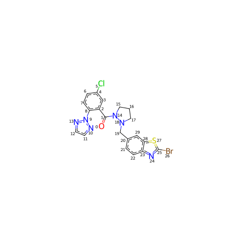 O=C(c1cc(Cl)ccc1-n1nccn1)N1CCCN1Cc1ccc2nc(Br)sc2c1